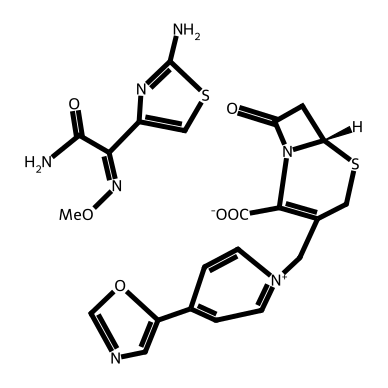 CON=C(C(N)=O)c1csc(N)n1.O=C([O-])C1=C(C[n+]2ccc(-c3cnco3)cc2)CS[C@H]2CC(=O)N12